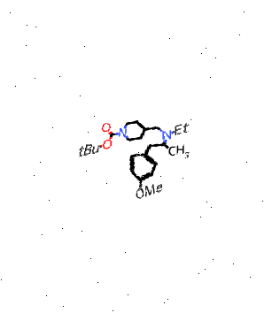 CCN(CC1CCN(C(=O)OC(C)(C)C)CC1)C(C)Cc1ccc(OC)cc1